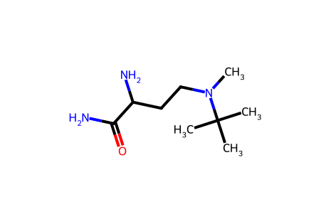 CN(CCC(N)C(N)=O)C(C)(C)C